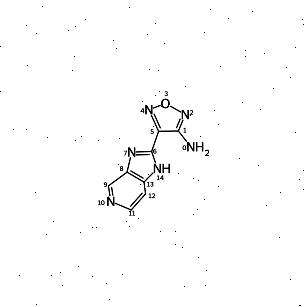 Nc1nonc1-c1nc2cnccc2[nH]1